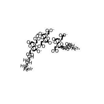 C=O.O=C([O-])CN(CCN(CC(=O)[O-])CC(=O)[O-])CC(=O)[O-].O=C([O-])CN(CCN(CC(=O)[O-])CC(=O)[O-])CC(=O)[O-].O=C([O-])CN(CCN(CC(=O)[O-])CC(=O)[O-])CC(=O)[O-].OSO.OSO.OSO.OSO.[Fe+3].[Fe+3].[Fe+3].[Fe+3]